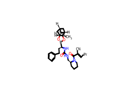 CC(C)/C=C(\C#N)C(=O)N1CCCC[C@H]1CNC(=O)N[C@@H](CCc1ccccc1)B1O[C@@H]2C[C@@H]3C[C@@H](C3(C)C)[C@]2(C)O1